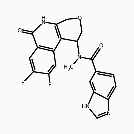 CN(C(=O)c1ccc2nc[nH]c2c1)C1COCc2[nH]c(=O)c3cc(F)c(F)cc3c21